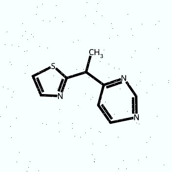 C[C](c1ccncn1)c1nccs1